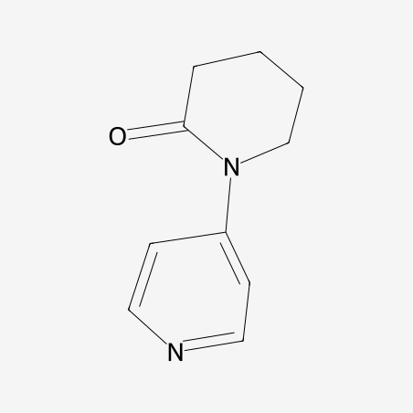 O=C1CCCCN1c1ccncc1